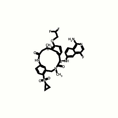 C[C@H]1CC(=O)Nc2ccc(S(=O)(=O)C3CC3)c(c2)CN(C)C(=O)[C@H](Nc2ccc3c(N)ncc(F)c3c2)c2ccc(OCC(F)F)c1c2